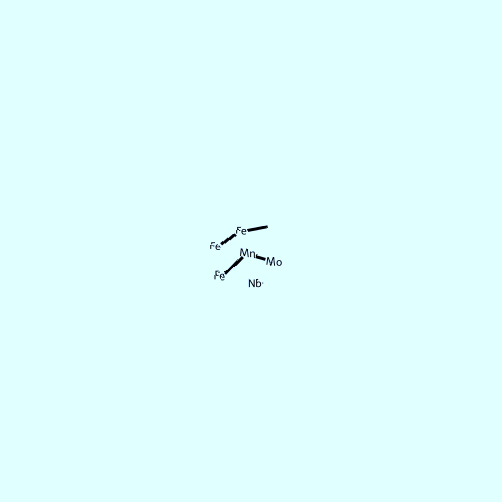 [CH3][Fe][Fe].[Fe][Mn][Mo].[Nb]